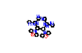 c1ccc(-c2cc(-c3cccnc3)nc(-c3cc(-c4cc(-c5nc(-c6cccnc6)cc(-c6ccccn6)n5)cc(N5c6ccccc6Oc6ccccc65)c4)cc(N4c5ccccc5Oc5ccccc54)c3)n2)nc1